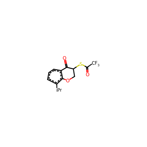 CC(C)c1cccc2c1OCC(SC(=O)C(F)(F)F)C2=O